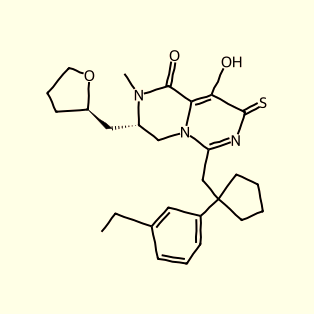 CCc1cccc(C2(Cc3nc(=S)c(O)c4n3C[C@H](C[C@H]3CCCO3)N(C)C4=O)CCCC2)c1